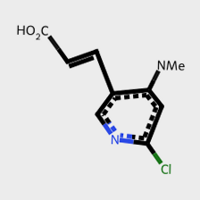 CNc1cc(Cl)ncc1C=CC(=O)O